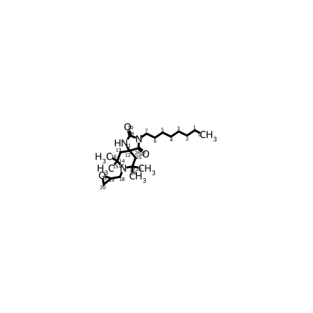 CCCCCCCCN1C(=O)NC2(CC(C)(C)N(CC3CO3)C(C)(C)C2)C1=O